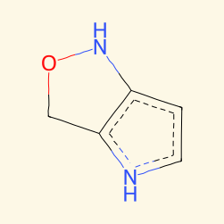 c1cc2c([nH]1)CON2